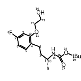 C[C@H](CCc1ccc(F)cc1OCCO)NC(=O)OC(C)(C)C